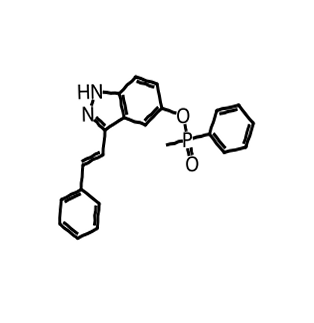 CP(=O)(Oc1ccc2[nH]nc(/C=C/c3ccccc3)c2c1)c1ccccc1